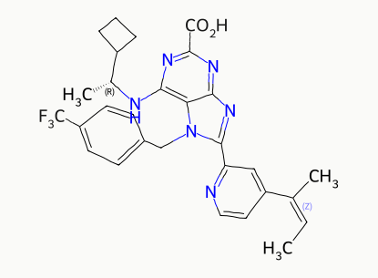 C/C=C(/C)c1ccnc(-c2nc3nc(C(=O)O)nc(N[C@H](C)C4CCC4)c3n2Cc2ccc(C(F)(F)F)cc2)c1